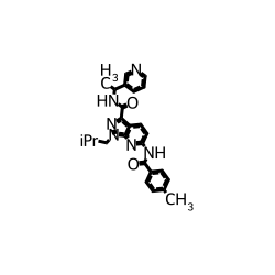 Cc1ccc(C(=O)Nc2ccc3c(C(=O)NC(C)c4cccnc4)nn(CC(C)C)c3n2)cc1